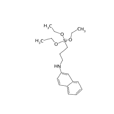 CCO[Si](CCCNc1ccc2ccccc2c1)(OCC)OCC